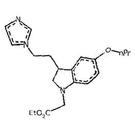 CCCOc1ccc2c(c1)C(CCn1ccnc1)CN2CC(=O)OCC